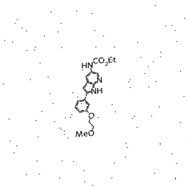 CCOC(=O)Nc1cnc2[nH]c(-c3cccc(OCCOC)c3)cc2c1